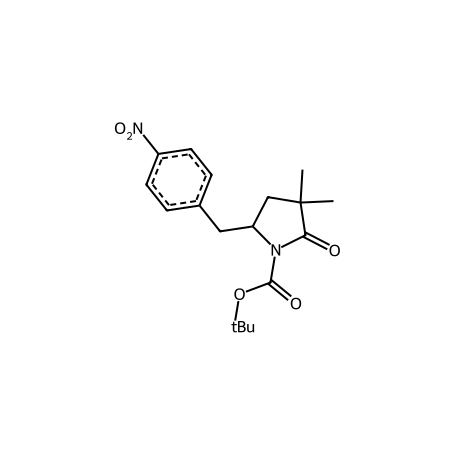 CC(C)(C)OC(=O)N1C(=O)C(C)(C)CC1Cc1ccc([N+](=O)[O-])cc1